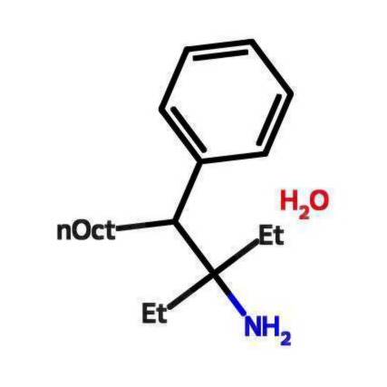 CCCCCCCCC(c1ccccc1)C(N)(CC)CC.O